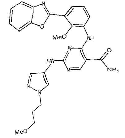 COCCCn1cc(Nc2ncc(C(N)=O)c(Nc3cccc(-c4nc5ccccc5o4)c3OC)n2)cn1